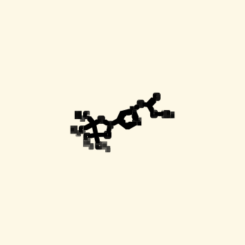 CC(C)(C)OC(=O)On1cc(B2OC(C)(C)C(C)(C)O2)cn1